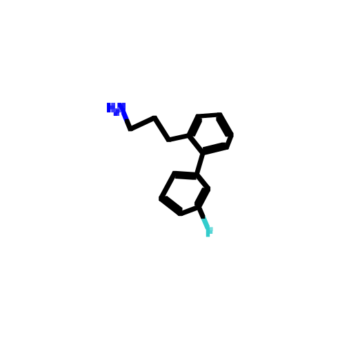 NCCCc1ccccc1-c1cccc(F)c1